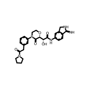 N=C1NCc2cc(NC(=O)[C@H](O)[C@H]3OCCN(c4cccc(CC(=O)N5CCCC5)c4)C3=O)ccc21